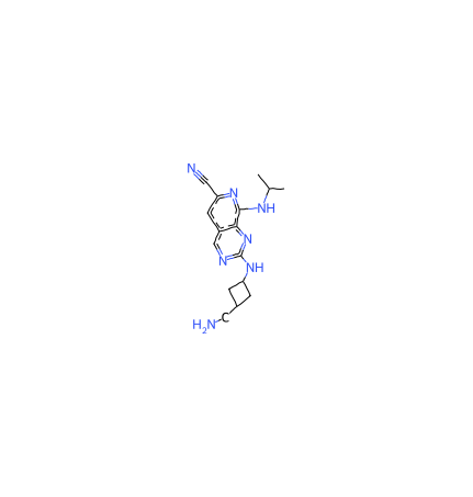 CC(C)Nc1nc(C#N)cc2cnc(NC3CC(CN)C3)nc12